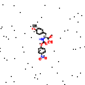 COc1ccc(C[C@H](NC(=O)Oc2ccc([N+](=O)[O-])cc2)C(=O)O)cc1